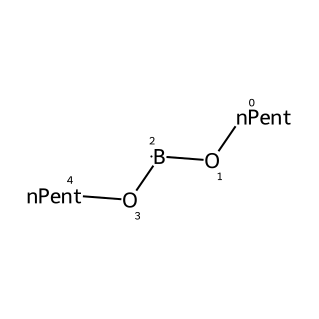 CCCCCO[B]OCCCCC